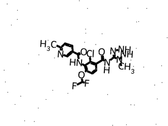 Cc1ccc(C(=O)Nc2c(OC(F)F)ccc(C(=O)NC3=NNNN3C)c2Cl)cn1